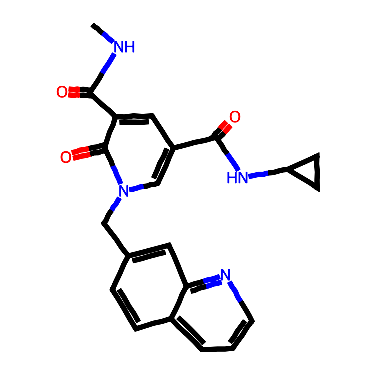 CNC(=O)c1cc(C(=O)NC2CC2)cn(Cc2ccc3cccnc3c2)c1=O